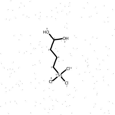 OC(O)CC[CH2][Sn]([Cl])([Cl])[Cl]